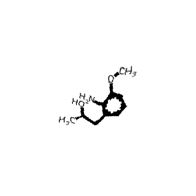 COc1cccc(C[C@@H](C)O)c1N